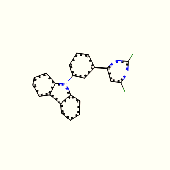 Clc1cc(-c2cccc(-n3c4ccccc4c4ccccc43)c2)nc(Cl)n1